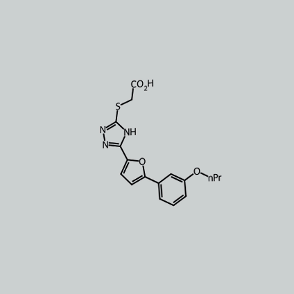 CCCOc1cccc(-c2ccc(-c3nnc(SCC(=O)O)[nH]3)o2)c1